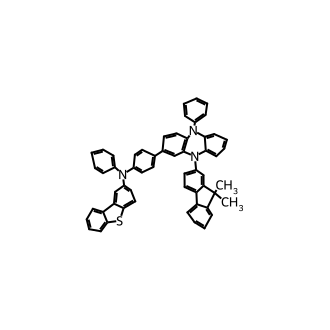 CC1(C)c2ccccc2-c2ccc(N3c4ccccc4N(c4ccccc4)c4ccc(-c5ccc(N(c6ccccc6)c6ccc7sc8ccccc8c7c6)cc5)cc43)cc21